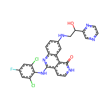 O=c1[nH]ccc2c(Nc3c(Cl)cc(F)cc3Cl)nc3ccc(NCC(O)c4cnccn4)cc3c12